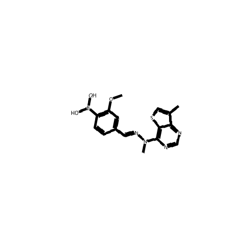 COc1cc(/C=N/N(C)c2ncnc3c(C)csc23)ccc1B(O)O